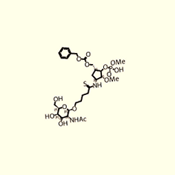 CO[C@H]1C(OP(=O)(O)OC)[C@@H](COC(=O)OCc2ccccc2)C[C@H]1NC(=S)CCCCO[C@@H]1O[C@H](CO)[C@H](O)[C@H](O)[C@H]1NC(C)=O